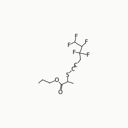 CCCOC(=O)C(C)SCCCC(F)(F)C(F)C(F)F